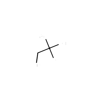 CCCCC(O)(CC(C)C)C(C)C